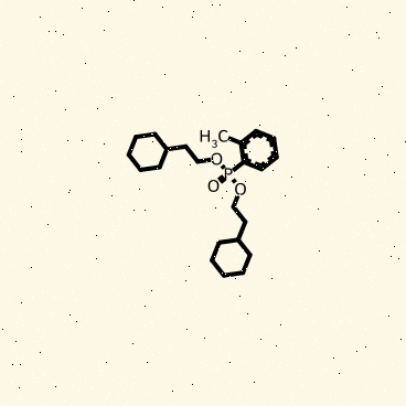 Cc1ccccc1P(=O)(OCCC1CCCCC1)OCCC1CCCCC1